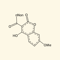 CCCCCCCCCC(=O)c1c(O)c2ccc(OC)cc2oc1=O